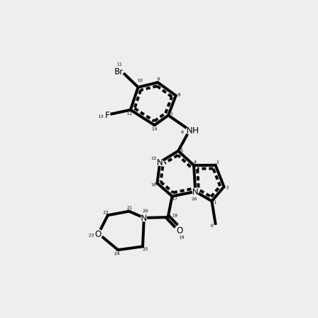 Cc1ccc2c(Nc3ccc(Br)c(F)c3)ncc(C(=O)N3CCOCC3)n12